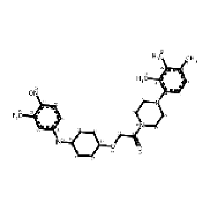 Cc1ccc(N2CCN(C(=O)COC3CCC(Nc4ccc(N=O)c(C(F)(F)F)c4)CC3)CC2)c(C)c1C